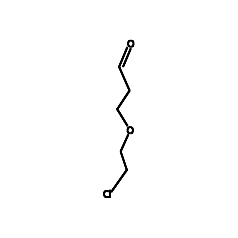 O=CCCOCCCl